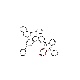 C1=CC(c2ccc3c(c2)-c2cc(N(c4ccccc4)c4ccccc4N(c4ccccc4)c4ccccc4)ccc2C32c3ccccc3-c3c2ccc2ccccc32)=CCC1